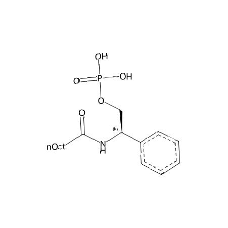 CCCCCCCCC(=O)N[C@@H](COP(=O)(O)O)c1ccccc1